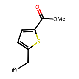 COC(=O)c1ccc(CC(C)C)s1